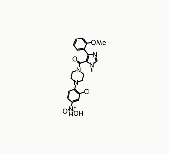 COc1ccccc1-c1ncn(C)c1C(=O)N1CCN(c2ccc([NH+]([O-])O)cc2Cl)CC1